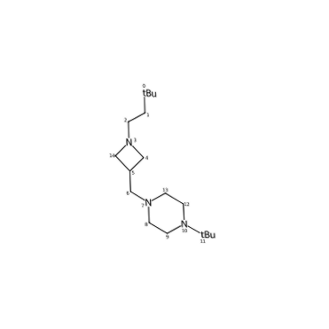 CC(C)(C)CCN1CC(CN2CCN(C(C)(C)C)CC2)C1